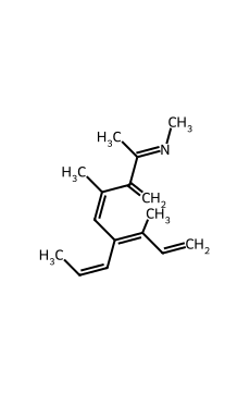 C=C/C(C)=C(\C=C/C)/C=C(/C)C(=C)/C(C)=N/C